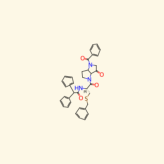 O=C(N[C@@H](CSCc1ccccc1)C(=O)N1CCC2C1C(=O)CN2C(=O)c1ccccc1)C(c1ccccc1)c1ccccc1